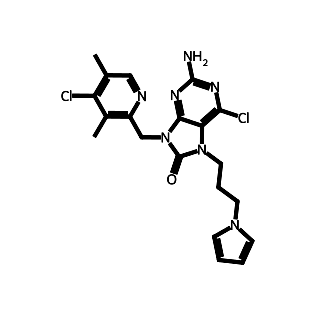 Cc1cnc(Cn2c(=O)n(CCCn3cccc3)c3c(Cl)nc(N)nc32)c(C)c1Cl